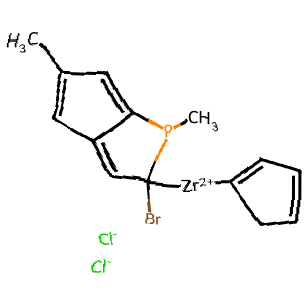 CC1=CC2=C[C](Br)([Zr+2][C]3=CC=CC3)P(C)C2=C1.[Cl-].[Cl-]